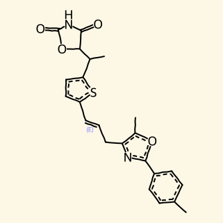 Cc1ccc(-c2nc(C/C=C/c3ccc(C(C)C4OC(=O)NC4=O)s3)c(C)o2)cc1